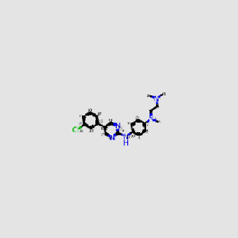 CN(C)CCN(C)c1ccc(Nc2ncc(-c3cccc(Cl)c3)cn2)cc1